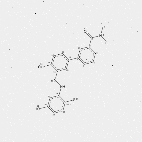 CN(C)C(=O)c1cccc(-c2ccc(O)c(SNc3cc(O)ccc3F)c2)c1